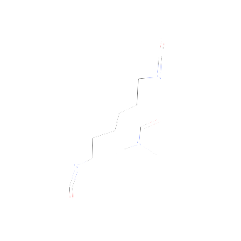 CN(C)C=O.O=C=NCCCCCCN=C=O